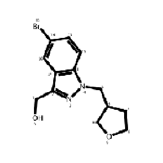 OCc1nn(CC2CCOC2)c2ccc(Br)cc12